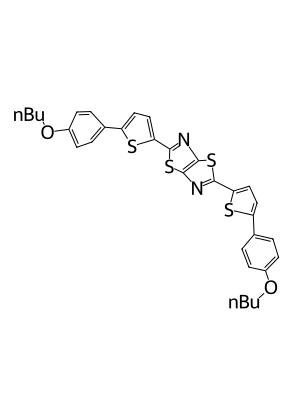 CCCCOc1ccc(-c2ccc(-c3nc4sc(-c5ccc(-c6ccc(OCCCC)cc6)s5)nc4s3)s2)cc1